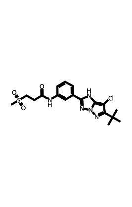 CC(C)(C)c1nn2nc(-c3cccc(NC(=O)CCS(C)(=O)=O)c3)[nH]c2c1Cl